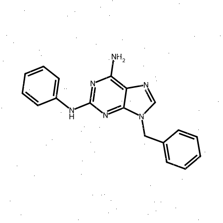 Nc1nc(Nc2ccccc2)nc2c1ncn2Cc1ccccc1